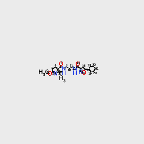 COc1ccc(C(=O)NCCCNC(=O)c2cc(-c3ccccc3)on2)c(C)n1